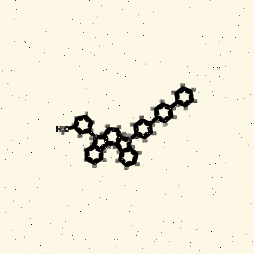 Cc1cccc(-n2c3ccccc3c3c4c5ccccc5n(-c5ccc(-c6ccc(-c7ccccc7)cc6)cc5)c4ccc32)c1